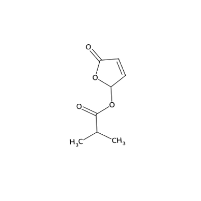 CC(C)C(=O)OC1C=CC(=O)O1